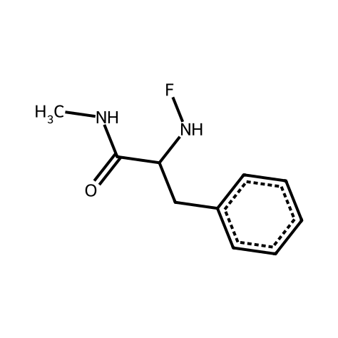 CNC(=O)C(Cc1ccccc1)NF